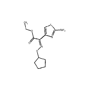 CCOC(=O)C(=NOC1CCCC1)c1csc(N)n1